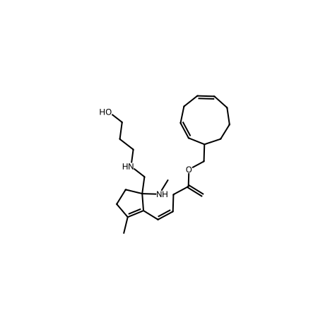 C=C(C/C=C\C1=C(C)CCC1(CNCCCO)NC)OCC1/C=C\C/C=C\CCC1